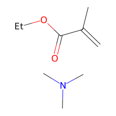 C=C(C)C(=O)OCC.CN(C)C